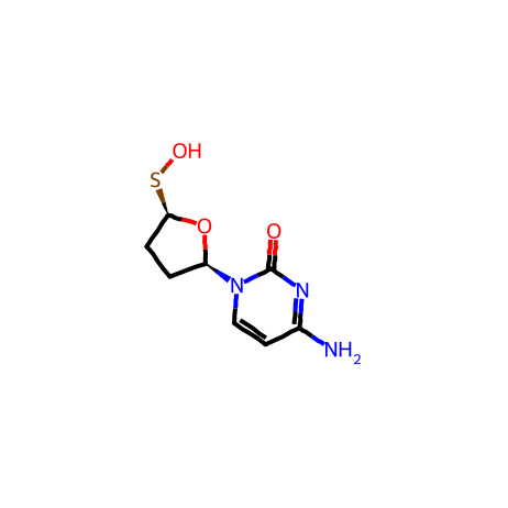 Nc1ccn([C@H]2CC[C@@H](SO)O2)c(=O)n1